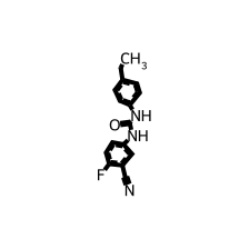 CCc1ccc(NC(=O)Nc2ccc(F)c(C#N)c2)cc1